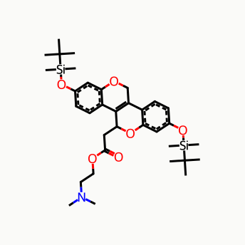 CN(C)CCOC(=O)CC1Oc2cc(O[Si](C)(C)C(C)(C)C)ccc2C2=C1c1ccc(O[Si](C)(C)C(C)(C)C)cc1OC2